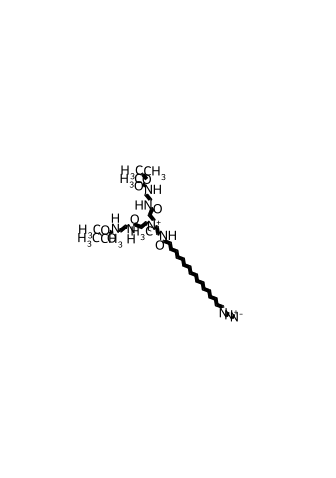 CC(C)(C)OC(=O)NCCNC(=O)CC[N+](C)(CCNC(=O)CCCCCCCCCCCCCCCCCN=[N+]=[N-])CCC(=O)NCCNC(=O)OC(C)(C)C